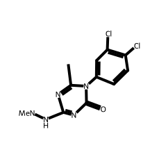 CNNc1nc(C)n(-c2ccc(Cl)c(Cl)c2)c(=O)n1